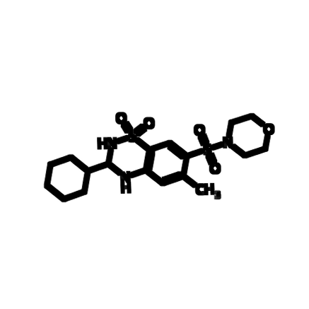 Cc1cc2c(cc1S(=O)(=O)N1CCOCC1)S(=O)(=O)NC(C1CCCCC1)N2